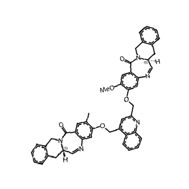 COc1cc2c(cc1OCc1cc(COc3cc4c(cc3C)C(=O)N3Cc5ccccc5C[C@H]3C=N4)c3ccccc3n1)N=C[C@@H]1Cc3ccccc3CN1C2=O